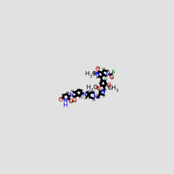 COc1cc(-c2cn(C)c(=O)c3c2CN(C(=O)F)CC3)cc(OC)c1CN1CC(CN2CCC3(CC2)CN(c2ccc4c(c2)C(=O)N(C2CCC(=O)NC2=O)C4)C3)C1